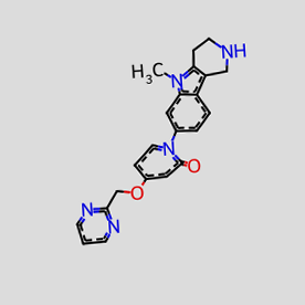 Cn1c2c(c3ccc(-n4ccc(OCc5ncccn5)cc4=O)cc31)CNCC2